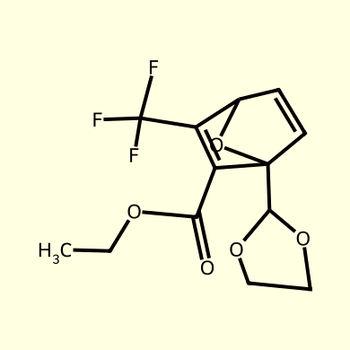 CCOC(=O)C1=C(C(F)(F)F)C2C=CC1(C1OCCO1)O2